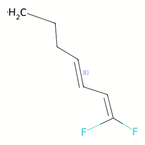 [CH2]CC/C=C/C=C(F)F